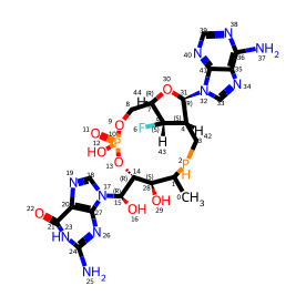 CC1PC[C@@H]2[C@H](F)[C@@H](COP(=O)(O)O[C@@H]([C@@H](O)n3cnc4c(=O)[nH]c(N)nc43)[C@@H]1O)O[C@H]2n1cnc2c(N)ncnc21